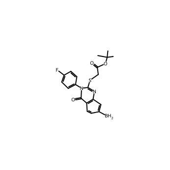 Bc1ccc2c(=O)n(-c3ccc(F)cc3)c(SCC(=O)OC(C)(C)C)nc2c1